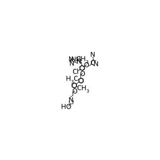 Cc1c(COc2cc(OCc3cncc(C#N)c3)c(CN(C)Cc3ncn[nH]3)cc2Cl)cccc1-c1cccc(OCCCN2CCC(O)C2)c1C